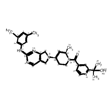 Cc1cc(C)cc(Nc2ncc3c(n2)CN([C@@H]2CCN(C(=O)c4ccnc(C(C)(C)O)c4)[C@H](C)C2)C3)c1